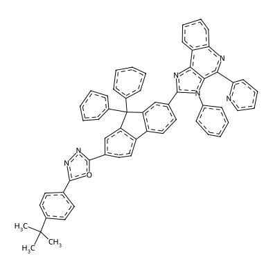 CC(C)(C)c1ccc(-c2nnc(-c3ccc4c(c3)C(c3ccccc3)(c3ccccc3)c3cc(-c5nc6c7ccccc7nc(-c7ccccn7)c6n5-c5ccccc5)ccc3-4)o2)cc1